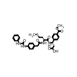 COC(=O)c1ccc([C@H](CC(=O)O)NC(=O)[C@H](CCSC)NC(=O)Cc2ccc(NC(=O)Nc3ccccc3)cc2)cc1